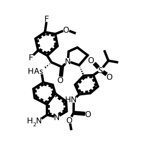 COC(=O)Nc1ccc(S(=O)(=O)C(C)C)c([C@H]2CCCN2C(=O)[C@H]([AsH]c2ccc3c(N)nccc3c2)c2cc(OC)c(F)cc2F)c1